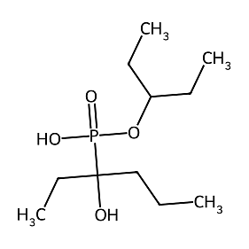 CCCC(O)(CC)P(=O)(O)OC(CC)CC